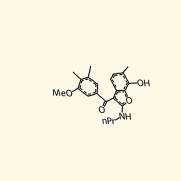 CCCNc1oc2c(O)c(C)ccc2c1C(=O)c1cc(C)c(C)c(OC)c1